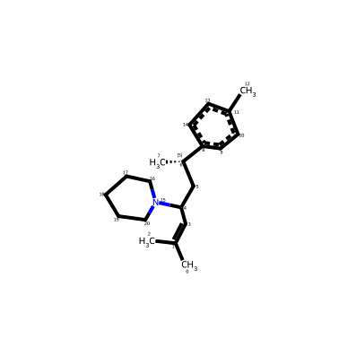 CC(C)=CC(C[C@H](C)c1ccc(C)cc1)N1CCCCC1